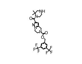 CC1(C)CNCCN1C(=O)c1cc2n(n1)CCN(C(=O)OCc1cc(C(F)(F)F)cc(C(F)(F)F)c1)C2